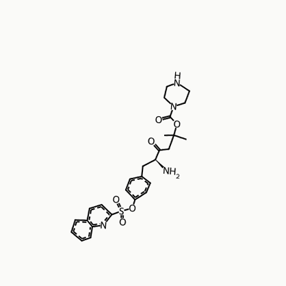 CC(C)(CC(=O)[C@@H](N)Cc1ccc(OS(=O)(=O)c2ccc3ccccc3n2)cc1)OC(=O)N1CCNCC1